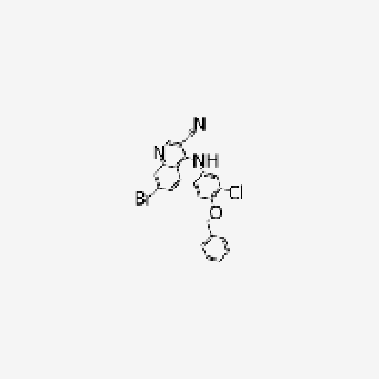 N#Cc1cnc2cc(Br)ccc2c1Nc1ccc(OCc2ccccc2)c(Cl)c1